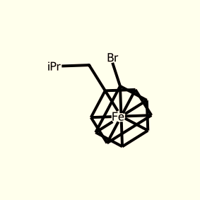 CC(C)C[C]12[CH]3[CH]4[CH]5[CH]1[Fe]45321678[CH]2[CH]1[CH]6[C]7(Br)[CH]28